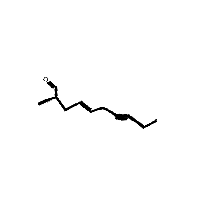 CCC=CCC=CCC(C)C=O